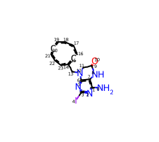 Nc1nc(I)nc2c1NC(=O)CN2Cc1ccccccccc1